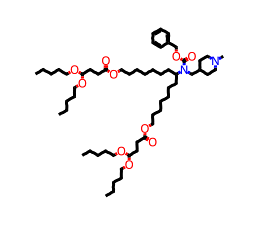 CCCCCOC(CCC(=O)OCCCCCCCC(CCCCCCCOC(=O)CCC(OCCCCC)OCCCCC)N(CC1CCN(C)CC1)C(=O)OCc1ccccc1)OCCCCC